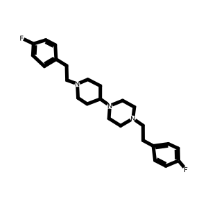 Fc1ccc(CCN2CCC(N3CCN(CCc4ccc(F)cc4)CC3)CC2)cc1